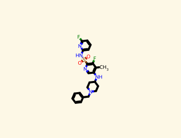 Cc1c(NC2CCN(Cc3ccccc3)CC2)cnc(S(=O)(=O)Nc2cccc(F)n2)c1F